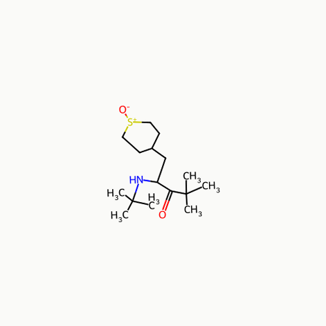 CC(C)(C)NC(CC1CC[S+]([O-])CC1)C(=O)C(C)(C)C